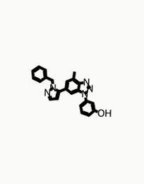 Cc1cc(-c2ccnn2Cc2ccccc2)cc2c1nnn2-c1cccc(O)c1